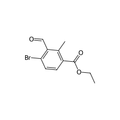 CCOC(=O)c1ccc(Br)c(C=O)c1C